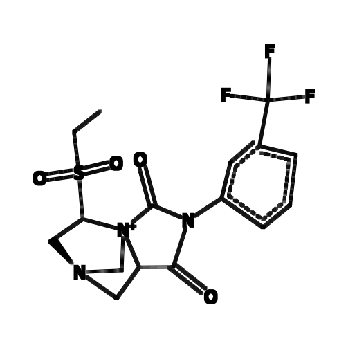 CCS(=O)(=O)C1C[N@]2CC3C(=O)N(c4cccc(C(F)(F)F)c4)C(=O)[N+]31C2